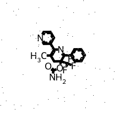 CC1=C(c2cccnc2)N=C(c2ccccc2)C(OC(N)=O)(C(F)(F)F)C1